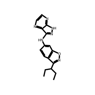 CCC(CC)c1noc2cc(Nc3n[nH]c4nccnc34)ccc12